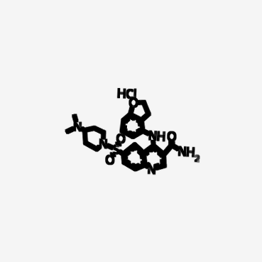 CN(C)C1CCN(S(=O)(=O)c2ccc3ncc(C(N)=O)c(Nc4cccc5c4CCO5)c3c2)CC1.Cl